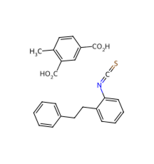 Cc1ccc(C(=O)O)cc1C(=O)O.S=C=Nc1ccccc1CCc1ccccc1